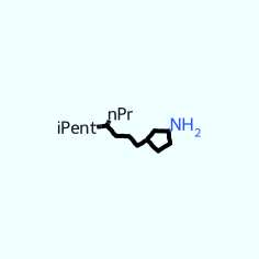 CCCC(C)C(CCC)CCCC1CCC(N)C1